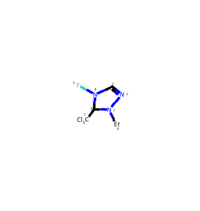 CCN1N=CN(F)C1C(Cl)(Cl)Cl